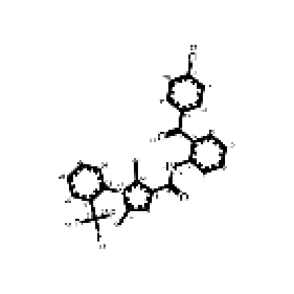 Cc1cc(C(=O)Nc2ccccc2C(=O)c2ccc(Cl)cc2)c(C)n1-c1ccccc1C(F)(F)F